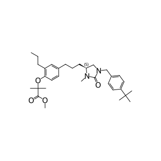 CCCc1cc(CCC[C@H]2CN(Cc3ccc(C(C)(C)C)cc3)C(=O)N2C)ccc1OC(C)(C)C(=O)OC